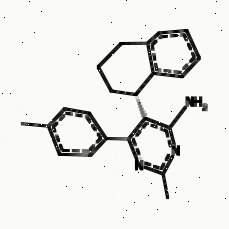 Cc1ccc(-c2nc(C)nc(N)c2[C@@H]2CCCc3ccccc32)cc1